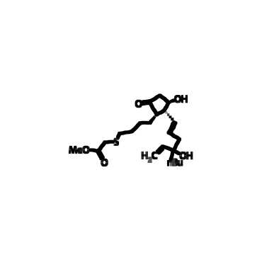 C=CC(O)(CC=C[C@H]1[C@H](O)CC(=O)[C@@H]1CCCCSCC(=O)OC)CCCC